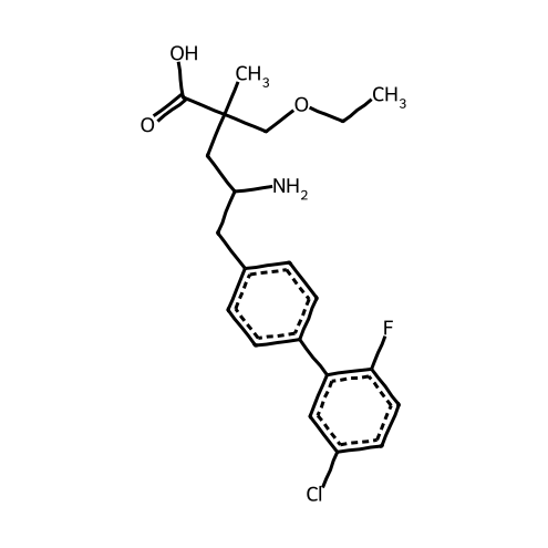 CCOCC(C)(CC(N)Cc1ccc(-c2cc(Cl)ccc2F)cc1)C(=O)O